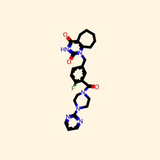 O=C(c1cc(Cn2c3c(c(=O)[nH]c2=O)CCCCC3)ccc1F)N1CCN(c2ncccn2)CC1